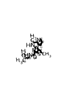 Cc1cc2nc(NC(C)c3ccccn3)nc(C(=O)NCC(C)O)c2s1